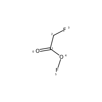 O=C(CF)OF